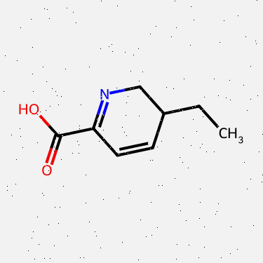 CCC1C=CC(C(=O)O)=NC1